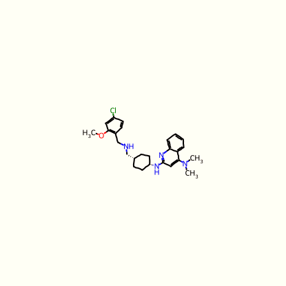 COc1cc(Cl)ccc1CNC[C@H]1CC[C@@H](Nc2cc(N(C)C)c3ccccc3n2)CC1